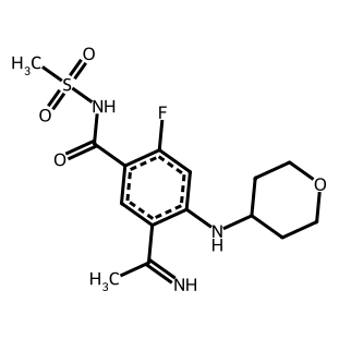 CC(=N)c1cc(C(=O)NS(C)(=O)=O)c(F)cc1NC1CCOCC1